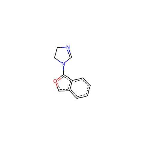 C1=NCCN1c1occ2ccccc12